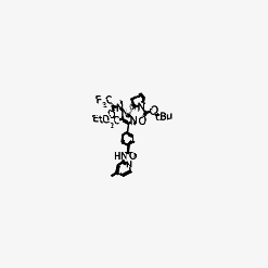 CCOC(=O)c1c(-c2ccc(C(=O)Nc3cc(C)ccn3)cc2)nc([C@@H]2CCCN2C(=O)OC(C)(C)C)n1N(C)C(=O)C(F)(F)F